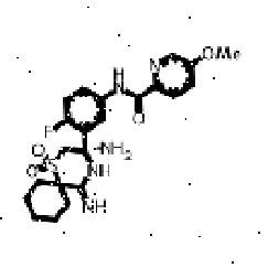 COc1ccc(C(=O)Nc2ccc(F)c([C@]3(N)CS(=O)(=O)C4(CCCCC4)C(=N)N3)c2)nc1